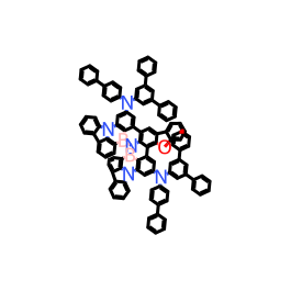 c1ccc(-c2ccc(N(c3cc(-c4ccccc4)cc(-c4ccccc4)c3)c3cc4c5c(c3)-n3c6ccccc6c6cccc(c63)B5N3B5c6c(cc(N(c7ccc(-c8ccccc8)cc7)c7cc(-c8ccccc8)cc(-c8ccccc8)c7)cc6-n6c7ccccc7c7cccc5c76)-c5c3c-4cc3c5oc4ccccc43)cc2)cc1